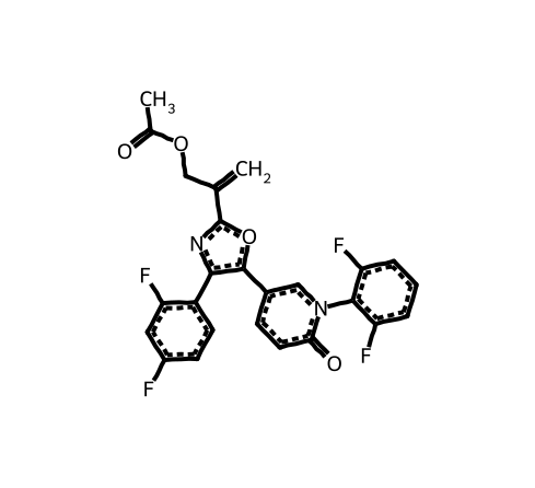 C=C(COC(C)=O)c1nc(-c2ccc(F)cc2F)c(-c2ccc(=O)n(-c3c(F)cccc3F)c2)o1